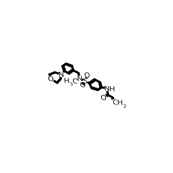 C=CC(=O)Nc1ccc(S(=O)(=O)N(C)Cc2cccc(N3CCOCC3)c2)cc1